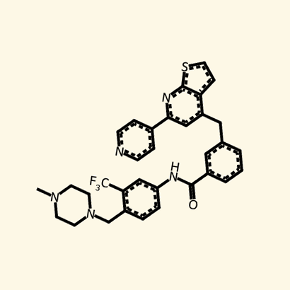 CN1CCN(Cc2ccc(NC(=O)c3cccc(Cc4cc(-c5ccncc5)nc5sccc45)c3)cc2C(F)(F)F)CC1